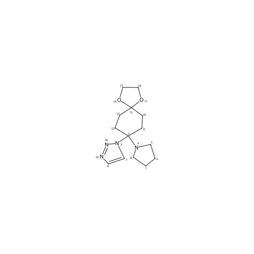 c1cn(C2(N3CCCC3)CCC3(CC2)OCCO3)nn1